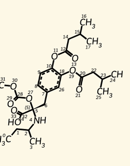 CCC(C)N[C@@](Cc1ccc(OC(=O)CC(C)C)c(OC(=O)CC(C)C)c1)(OC(=O)OC)C(=O)O